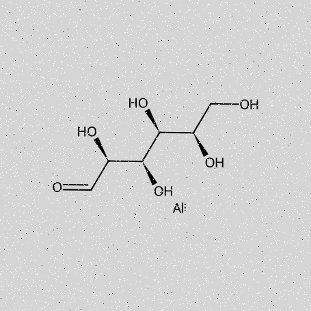 O=C[C@@H](O)[C@H](O)[C@@H](O)[C@H](O)CO.[Al]